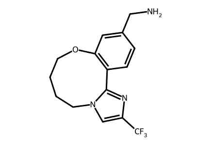 NCc1ccc2c(c1)OCCCCn1cc(C(F)(F)F)nc1-2